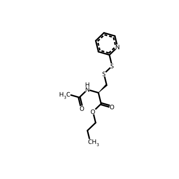 CCCOC(=O)[C@H](CSSc1ccccn1)NC(C)=O